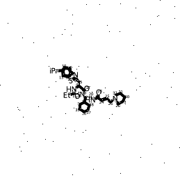 CCC(=O)N[C@@H](Cc1nc2ccc(C(C)C)cc2s1)C(=O)N[C@H](CNC(=O)/C=C/CN1CCCCC1)C1CCCCC1